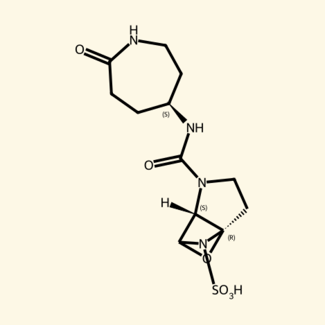 O=C1CC[C@H](NC(=O)N2CC[C@@]34OC([C@H]23)N4S(=O)(=O)O)CCN1